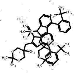 CC1(CC2=Cc3c(-c4ccccc4C(C)(C)C)cccc3[CH]2[Zr]([CH3])([CH3])(=[SiH2])[CH]2C(CC3(C)COC(C)(C)OC3)=Cc3c(-c4ccccc4C(C)(C)C)cccc32)COC(C)(C)OC1.Cl.Cl